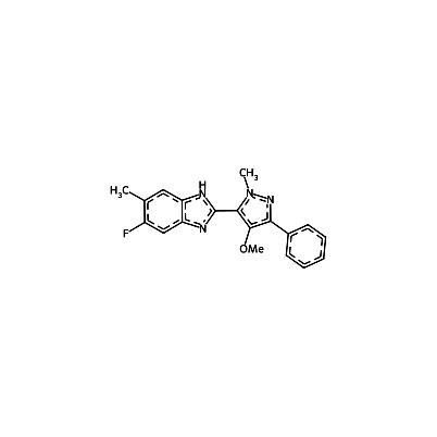 COc1c(-c2ccccc2)nn(C)c1-c1nc2cc(F)c(C)cc2[nH]1